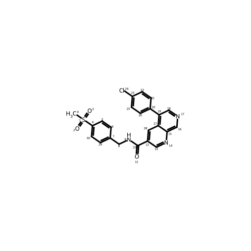 CS(=O)(=O)c1ccc(CNC(=O)c2cnc3cncc(-c4ccc(Cl)cc4)c3c2)cc1